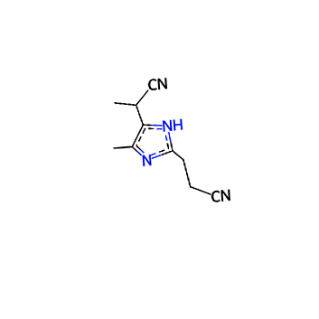 Cc1nc(CCC#N)[nH]c1C(C)C#N